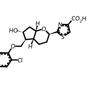 Cc1ccc(OC[C@@H]2[C@H]3CC[C@H](c4nc(C(=O)O)cs4)O[C@H]3C[C@H]2O)c(Cl)c1